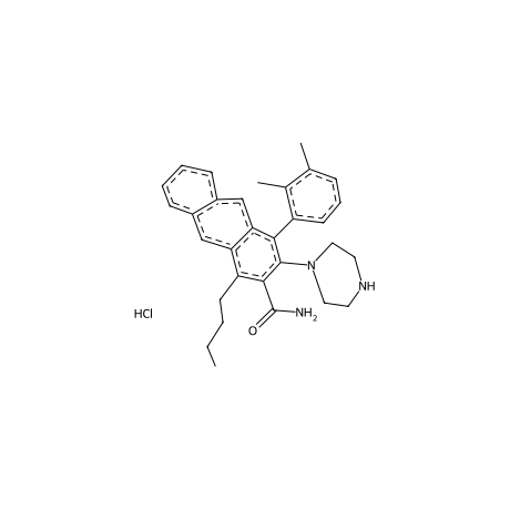 CCCCc1c(C(N)=O)c(N2CCNCC2)c(-c2cccc(C)c2C)c2cc3ccccc3cc12.Cl